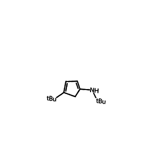 CC(C)(C)NC1=CC=C(C(C)(C)C)C1